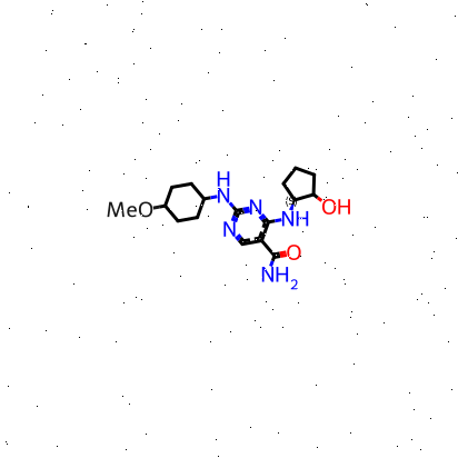 COC1CCC(Nc2ncc(C(N)=O)c(N[C@H]3CCCC3O)n2)CC1